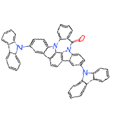 O=c1c2ccccc2n2c3ccc(-n4c5ccccc5c5ccccc54)cc3c3ccc4c5cc(-n6c7ccccc7c7ccccc76)ccc5n1c4c32